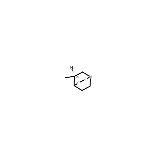 C[C@H]1CN2CCC1CC2